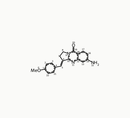 COc1ccc(/C=C2\CCn3c2nc2cc(N)ccc2c3=O)cc1